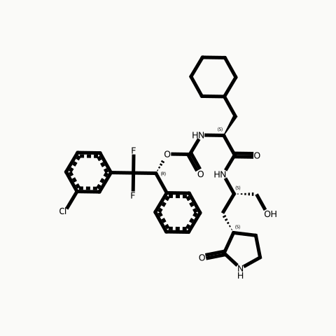 O=C(N[C@@H](CC1CCCCC1)C(=O)N[C@H](CO)C[C@@H]1CCNC1=O)O[C@H](c1ccccc1)C(F)(F)c1cccc(Cl)c1